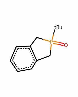 CC(C)(C)P1(=O)Cc2ccccc2C1